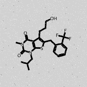 CC(C)Cn1c(=O)n(C)c(=O)c2c(CCCO)c(Cc3ccccc3C(F)(F)F)sc21